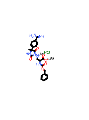 CC(=O)N(CC(NC(=O)OCc1ccccc1)C(=O)OC(C)(C)C)N1C(=O)NC(C)(c2ccc(C(=N)N)cc2)C1=O.Cl